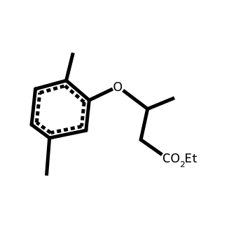 CCOC(=O)CC(C)Oc1cc(C)ccc1C